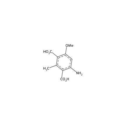 COc1cc(N)c(C(=O)O)c(C)c1C(=O)O